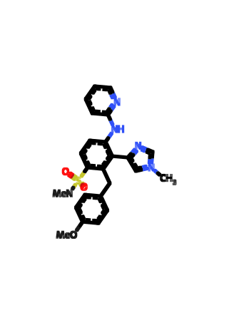 CNS(=O)(=O)c1ccc(Nc2ccccn2)c(-c2cn(C)cn2)c1Cc1ccc(OC)cc1